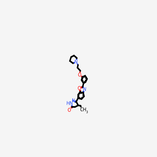 CCC1CC(=O)NN=C1c1ccc2nc(-c3cccc(OCCCN4CCCCC4)c3)oc2c1